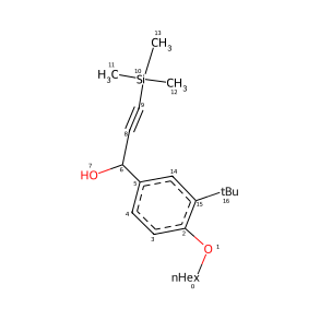 CCCCCCOc1ccc(C(O)C#C[Si](C)(C)C)cc1C(C)(C)C